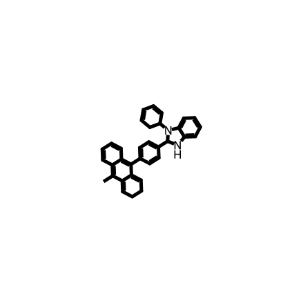 Cc1c2c(c(-c3ccc(C4Nc5ccccc5N4C4C=CC=CC4)cc3)c3ccccc13)=CCCC=2